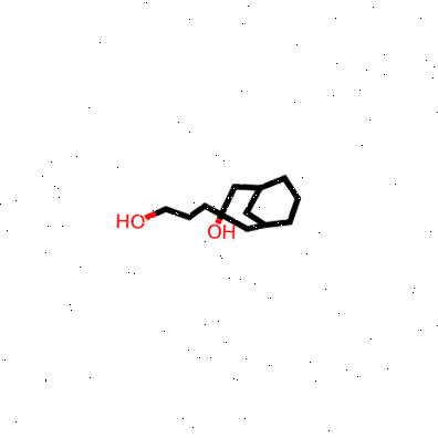 OCCCC1(O)CC2CCCC(C2)C1